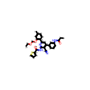 [CH2]CC(=O)Nc1cccc(-c2cc(-c3ccc(C)cc3OCOCC)nc(NC(=O)c3cccs3)c2C#N)c1